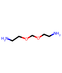 NCCOCOCCN